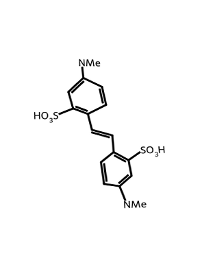 CNc1ccc(/C=C/c2ccc(NC)cc2S(=O)(=O)O)c(S(=O)(=O)O)c1